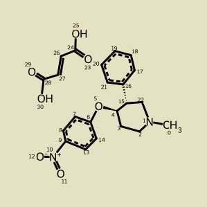 CN1CC[C@@H](Oc2ccc([N+](=O)[O-])cc2)[C@H](c2ccccc2)C1.O=C(O)C=CC(=O)O